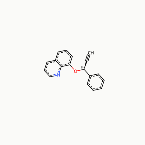 C#C[C@H](Oc1cccc2cccnc12)c1ccccc1